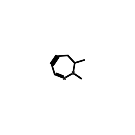 CC1CC#CC=NN1C